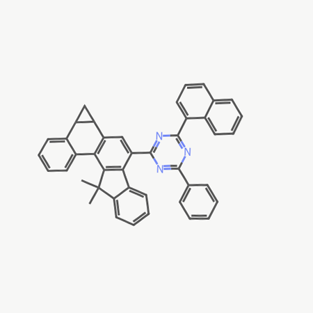 CC1(C)c2ccccc2-c2c(-c3nc(-c4ccccc4)nc(-c4cccc5ccccc45)n3)cc3c(c21)-c1ccccc1C1CC31